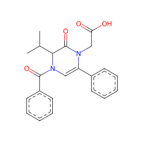 CC(C)C1C(=O)N(CC(=O)O)C(c2ccccc2)=CN1C(=O)c1ccccc1